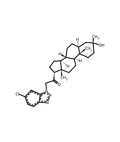 C[C@@]1(O)CC[C@@]2(C)[C@@H](CC[C@@H]3[C@@H]2CC[C@]2(C)[C@@H](C(=O)Cn4nnc5ccc(Cl)cc54)CC[C@@H]32)C1